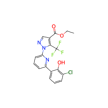 CCOC(=O)c1cnn(-c2cccc(-c3cccc(Cl)c3O)n2)c1C(F)(F)F